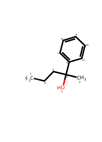 CC(O)(CCC(F)(F)F)c1ccccc1